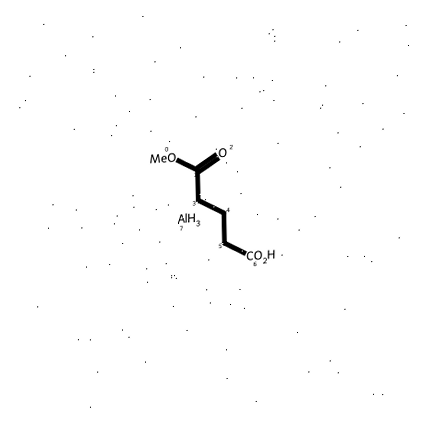 COC(=O)CCCC(=O)O.[AlH3]